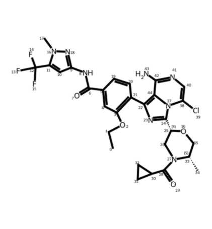 CCOc1cc(C(=O)Nc2cc(C(F)(F)F)n(C)n2)ccc1-c1nc([C@H]2CN(C(=O)C3CC3)[C@@H](C)CO2)n2c(Cl)cnc(N)c12